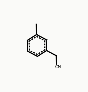 Cc1[c]c(CC#N)ccc1